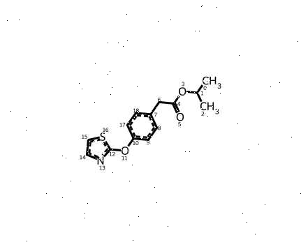 CC(C)OC(=O)Cc1ccc(Oc2nccs2)cc1